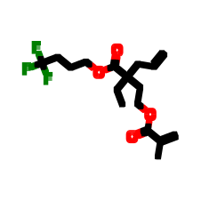 C=CCC(CC)(CCOC(=O)C(=C)C)C(=O)OCCCC(F)(F)F